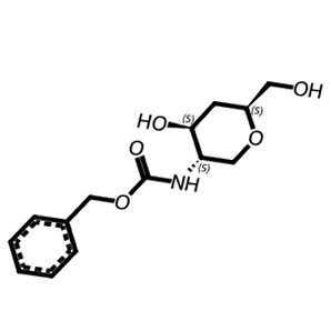 O=C(N[C@H]1CO[C@H](CO)C[C@@H]1O)OCc1ccccc1